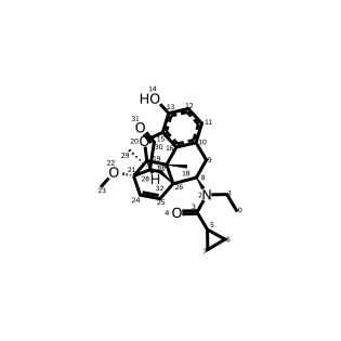 CCN(C(=O)C1CC1)[C@@H]1Cc2ccc(O)c3c2[C@@]2(C)[C@@H](O3)[C@]3(OC)C=C[C@@]12C[C@]3(C)C=O